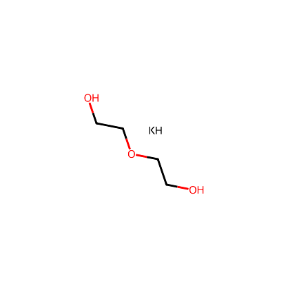 OCCOCCO.[KH]